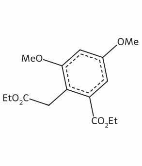 CCOC(=O)Cc1c(OC)cc(OC)cc1C(=O)OCC